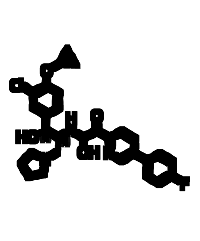 O=C(c1ccc(-c2ccc(F)cc2)cn1)C(O)N[C@H](CN1CCCC1)[C@H](O)c1ccc(OC2CC2)c(Cl)c1